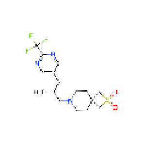 CC(Cc1cnc(C(F)(F)F)nc1)CN1CCC2(CC1)CS(=O)(=O)C2